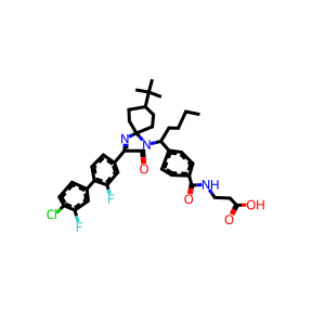 CCCCC(c1ccc(C(=O)NCCC(=O)O)cc1)N1C(=O)C(c2ccc(-c3ccc(Cl)c(F)c3)c(F)c2)=NC12CCC(C(C)(C)C)CC2